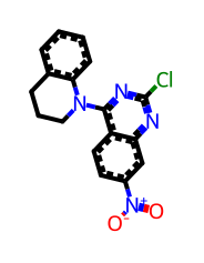 O=[N+]([O-])c1ccc2c(N3CCCc4ccccc43)nc(Cl)nc2c1